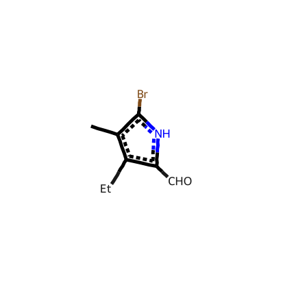 CCc1c(C=O)[nH]c(Br)c1C